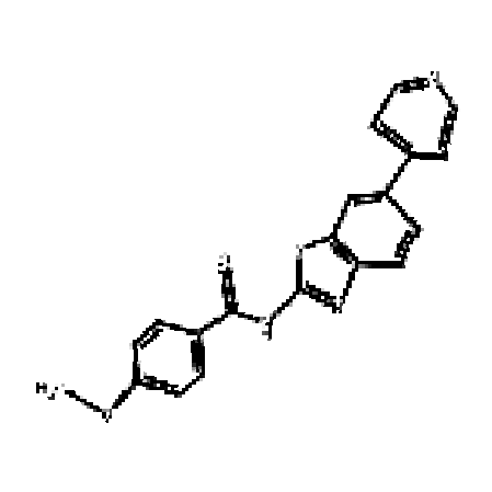 COc1ccc(C(=O)Nc2nc3ccc(-c4ccncc4)cc3s2)cc1